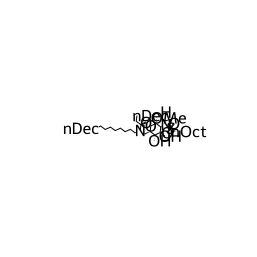 CCCCCCCCCCCCCCCCCCN(C[C@H]1O[C@H](OC)[C@@H](NS(=O)(=O)CCCCCCCC)[C@@H](O)[C@@H]1O)C(=O)CCCCCCCCCCC